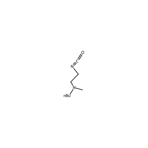 CCCCN(C)CCN=C=O